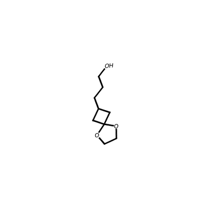 OCCCC1CC2(C1)OCCO2